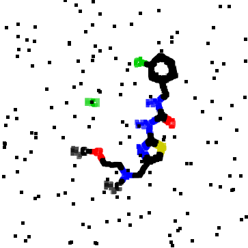 COCCN(C)Cc1csc(NC(=O)NCc2cccc(Cl)c2)n1.Cl